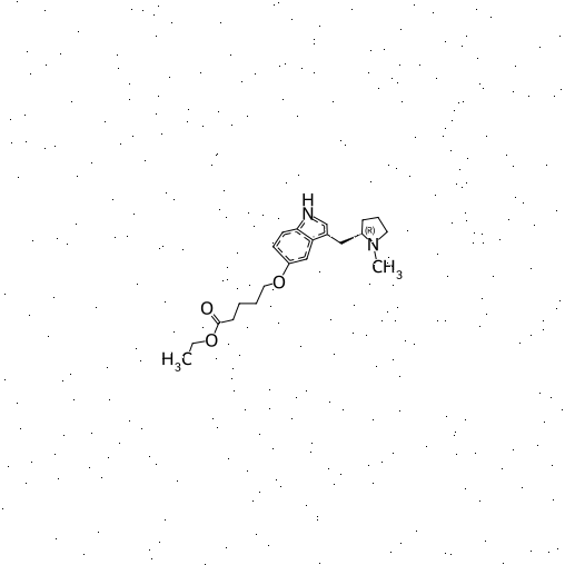 CCOC(=O)CCCCOc1ccc2[nH]cc(C[C@H]3CCCN3C)c2c1